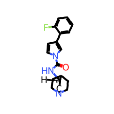 O=C(N[C@H]1CN2CCC1CC2)n1ccc(-c2ccccc2F)c1